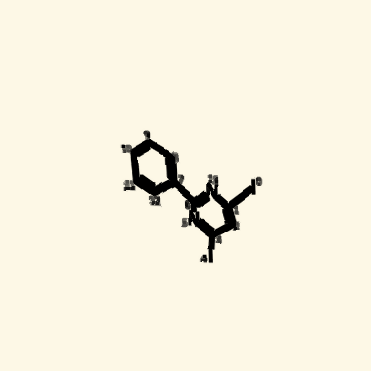 Ic1cc(I)nc(-c2ccccc2)n1